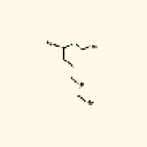 CC[C@H](CCCNCC(C)(C)C)CCC(C)(C)C